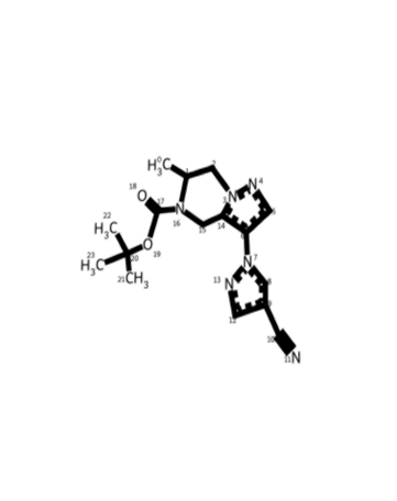 CC1Cn2ncc(-n3cc(C#N)cn3)c2CN1C(=O)OC(C)(C)C